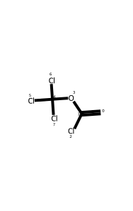 C=C(Cl)OC(Cl)(Cl)Cl